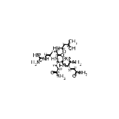 C[C@@H](O)CC(=O)N[C@@H](CCCNC(=N)N)C(=O)N[C@H](CCC(N)=O)C(=O)N[C@@H](CCC(N)=O)C(N)=O